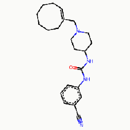 N#Cc1cccc(NC(=O)NC2CCN(CC3=CCCCCCC3)CC2)c1